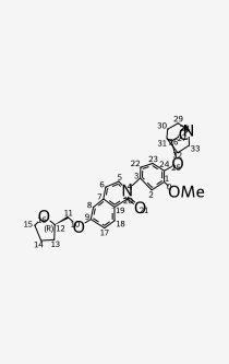 COc1cc(-n2ccc3cc(OC[C@H]4CCCO4)ccc3c2=O)ccc1OC1CN2CCC1CC2